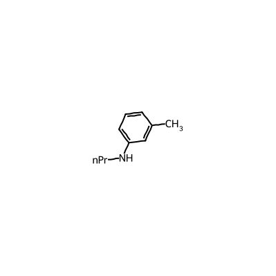 [CH2]CCNc1cccc(C)c1